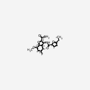 CCc1ccc(C(=O)Nc2c(C(N)=O)oc3c(OC)cc(F)cc23)o1